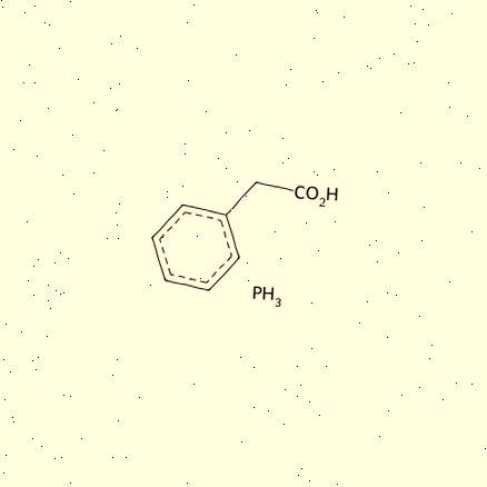 O=C(O)Cc1ccccc1.P